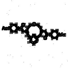 CC(=O)N1CCN(C(=O)CN2CCOCCN(CC(=O)N3CCN(C(C)=O)CC3)Cc3cccc(n3)C2)CC1